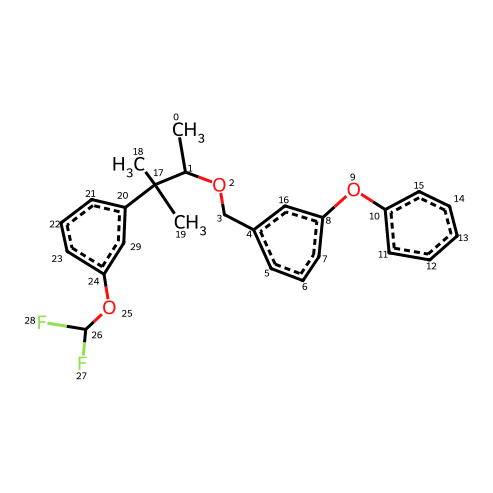 CC(OCc1cccc(Oc2ccccc2)c1)C(C)(C)c1cccc(OC(F)F)c1